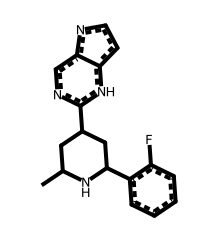 CC1CC(c2ncc3nccc-3[nH]2)CC(c2ccccc2F)N1